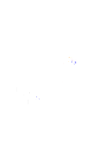 C=CCN(C)CCCCCCOC1CCC(N(C)S(=O)(=O)O)CC1